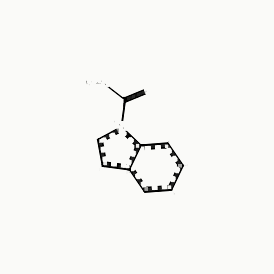 CNC(=O)n1[c]cc2ccccc21